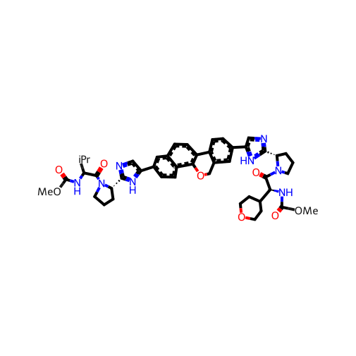 COC(=O)NC(C(=O)N1CCC[C@H]1c1ncc(-c2ccc3c4c(ccc3c2)-c2ccc(-c3cnc([C@@H]5CCCN5C(=O)[C@@H](NC(=O)OC)C5CCOCC5)[nH]3)cc2CO4)[nH]1)C(C)C